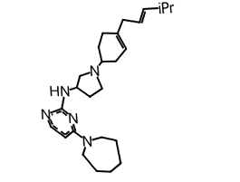 CC(C)C=CCC1=CCC(N2CCC(Nc3nccc(N4CCCCCC4)n3)C2)CC1